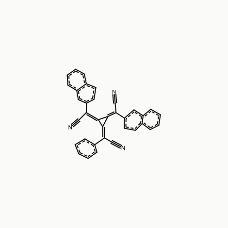 N#CC(=C1C(=C(\C#N)c2ccccc2)/C1=C(\C#N)c1ccc2ccccc2c1)c1ccc2ccccc2c1